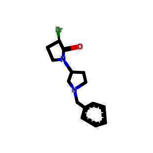 O=C1[C@H](Br)CCN1C1CCN(Cc2ccccc2)C1